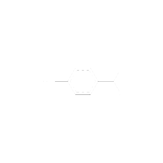 O=C(O)c1ccc(C(Cl)Cl)cc1